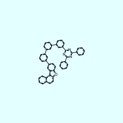 c1ccc(-c2nc(-c3ccccc3)nc(-c3cccc(-c4cccc(-c5cccc(-c6ccc7oc8ccc9ccccc9c8c7c6)c5)c4)c3)n2)cc1